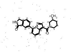 C[C@H]1CCCN(C(=O)c2cnn3c(-c4ccc5c(c4)C(=O)NC5)cccc23)C1